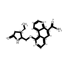 CC[C@@H]1CC(=O)NC1COc1nccc2cc(C(N)=O)c3ncccc3c12